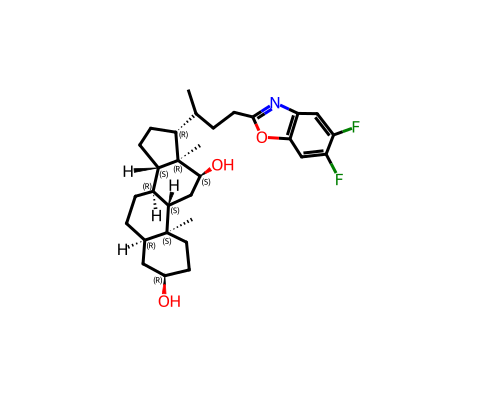 CC(CCc1nc2cc(F)c(F)cc2o1)[C@H]1CC[C@H]2[C@@H]3CC[C@@H]4C[C@H](O)CC[C@]4(C)[C@H]3C[C@H](O)[C@]12C